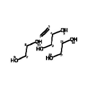 C=C.OCCO.OCCO.OCCO